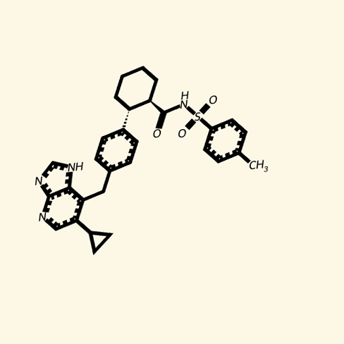 Cc1ccc(S(=O)(=O)NC(=O)[C@@H]2CCCC[C@H]2c2ccc(Cc3c(C4CC4)cnc4nc[nH]c34)cc2)cc1